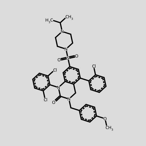 COc1ccc(CN2Cc3c(-c4ccccc4Cl)cc(S(=O)(=O)N4CCN(C(C)C)CC4)cc3N(c3c(Cl)cccc3Cl)C2=O)cc1